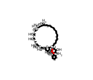 CC1OC(O[C@H]2/C=C/C=C/C=C/C=C/C=C/C=C/C=C/C(C)[C@@H](O)C(C)C(C)OC(=O)C[C@H](O)C[C@H](O)CC[C@@H](O)[C@H](O)C[C@H](O)C[C@]3(O)CC(O)[C@@H](C(=O)NCc4ccccc4)C(C2)O3)C(O)C(N)C1O